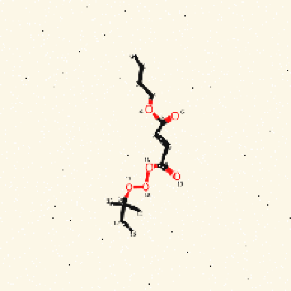 CCCCOC(=O)C=CC(=O)OOOC(C)(C)CC